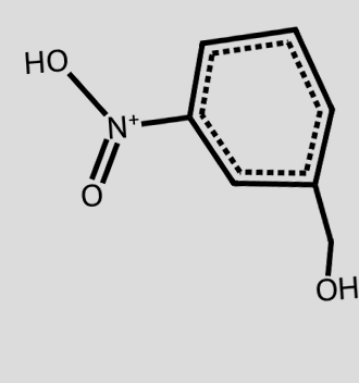 O=[N+](O)c1cccc(CO)c1